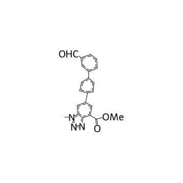 COC(=O)c1cc(-c2ccc(-c3cccc(C=O)c3)cc2)cc2c1nnn2C